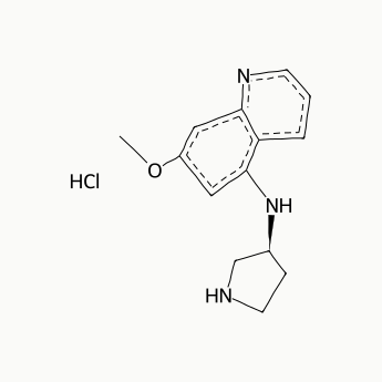 COc1cc(N[C@H]2CCNC2)c2cccnc2c1.Cl